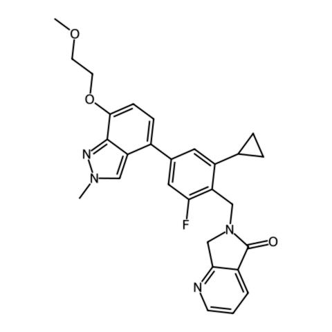 COCCOc1ccc(-c2cc(F)c(CN3Cc4ncccc4C3=O)c(C3CC3)c2)c2cn(C)nc12